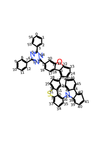 c1ccc(-c2nc(-c3ccccc3)nc(-c3ccc4c(c3)oc3cccc(-c5ccc6sc7cccc(-n8c9ccccc9c9ccccc98)c7c6c5)c34)n2)cc1